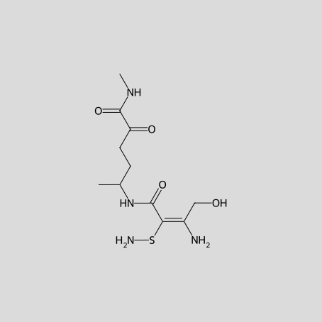 CNC(=O)C(=O)CCC(C)NC(=O)/C(SN)=C(/N)CO